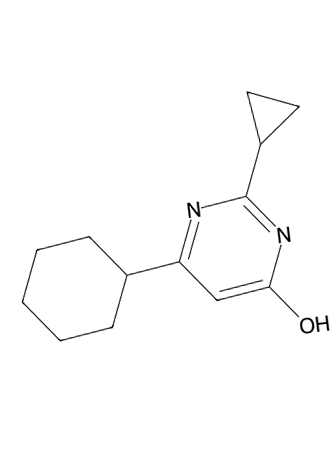 Oc1cc(C2CCCCC2)nc(C2CC2)n1